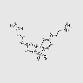 CNCCOc1ccc2c(c1)-c1cc(OCCNC)ccc1S2(=O)=O